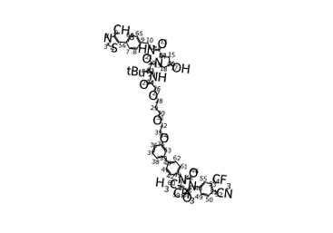 Cc1ncsc1-c1ccc(CNC(=O)[C@@H]2C[C@@H](O)CN2C(=O)[C@@H](NC(=O)COCCCOCCOc2cccc(-c3ccc(N4C(=O)N(c5ccc(C#N)c(C(F)(F)F)c5)C(=O)C4(C)C)cc3)c2)C(C)(C)C)cc1